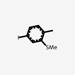 CSc1cc(I)ccc1C